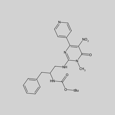 Cn1c(NCC(Cc2ccccc2)NC(=O)OC(C)(C)C)nc(-c2ccncc2)c([N+](=O)[O-])c1=O